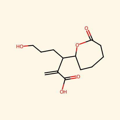 C=C(C(=O)O)C(CCCO)C1CCCCC(=O)O1